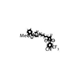 COc1ccccc1C(=O)N1CCN(CCCCCC2=C(C)C(=O)N(c3ccc(C#N)c(C(F)(F)F)c3)C2=O)CC1